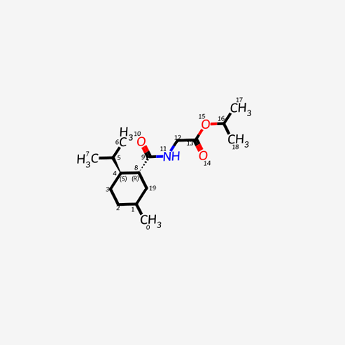 CC1CC[C@@H](C(C)C)[C@H](C(=O)NCC(=O)OC(C)C)C1